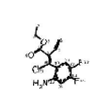 C=C/C(C(=O)OCC)=C(/Cl)c1cc(F)c(F)cc1N